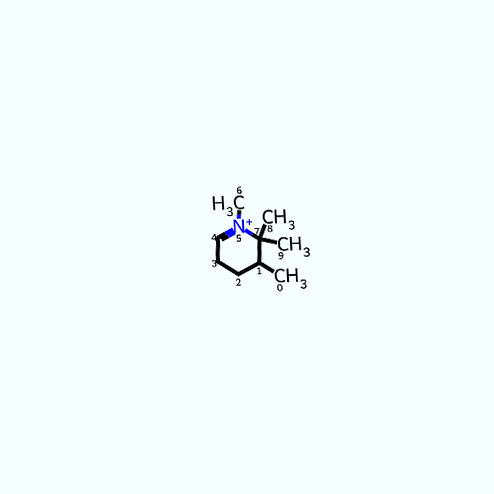 CC1CCC=[N+](C)C1(C)C